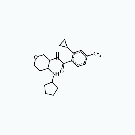 O=C(NC1COCCC1NC1CCCC1)c1ccc(C(F)(F)F)cc1C1CC1